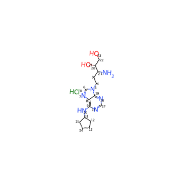 Cl.NC(CCn1cnc2c(NC3CCCC3)ncnc21)C(O)CO